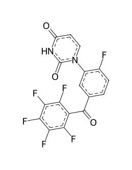 O=C(c1ccc(F)c(-n2ccc(=O)[nH]c2=O)c1)c1c(F)c(F)c(F)c(F)c1F